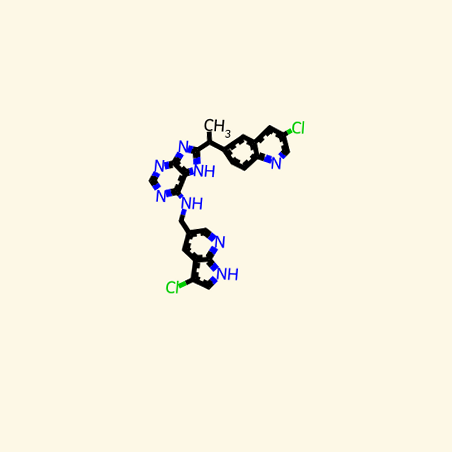 CC(c1ccc2ncc(Cl)cc2c1)c1nc2ncnc(NCc3cnc4[nH]cc(Cl)c4c3)c2[nH]1